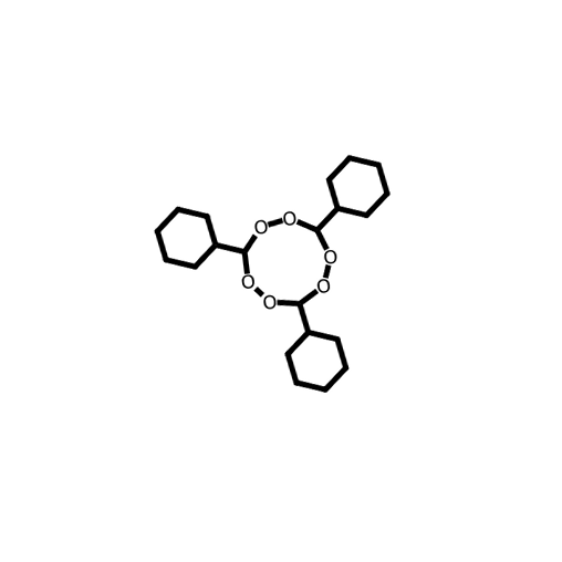 C1CCC(C2OOC(C3CCCCC3)OOC(C3CCCCC3)OO2)CC1